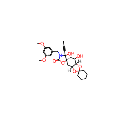 CC#CC1(O)N(Cc2cc(OC)cc(OC)c2)C(=O)O[C@@]12CC(O)[C@@H]1OC3(CCCCC3)O[C@@H]1C2